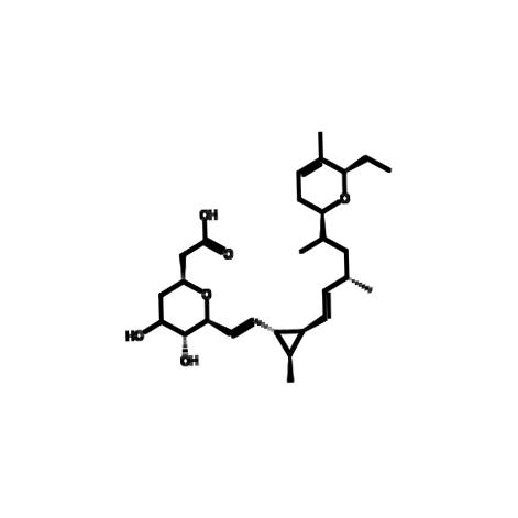 CC[C@H]1O[C@@H](C(C)C[C@H](C)/C=C/[C@H]2[C@@H](C)[C@@H]2/C=C/[C@@H]2O[C@H](CC(=O)O)CC(O)[C@H]2O)CC=C1C